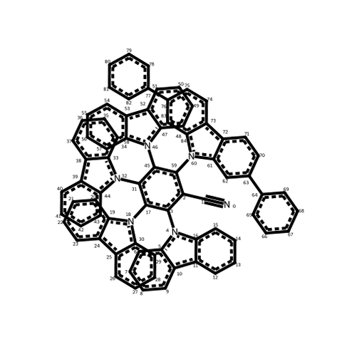 N#Cc1c(-n2c3ccccc3c3ccccc32)c(-n2c3ccccc3c3ccccc32)c(-n2c3ccccc3c3ccccc32)c(-n2c3ccccc3c3ccccc32)c1-n1c2cc(-c3ccccc3)ccc2c2ccc(-c3ccccc3)cc21